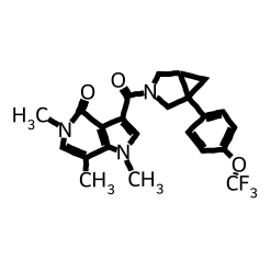 Cc1cn(C)c(=O)c2c(C(=O)N3CC4CC4(c4ccc(OC(F)(F)F)cc4)C3)cn(C)c12